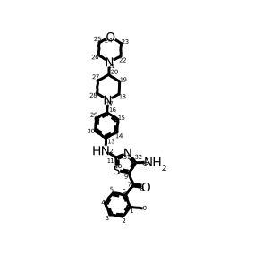 Cc1ccccc1C(=O)c1sc(Nc2ccc(N3CCC(N4CCOCC4)CC3)cc2)nc1N